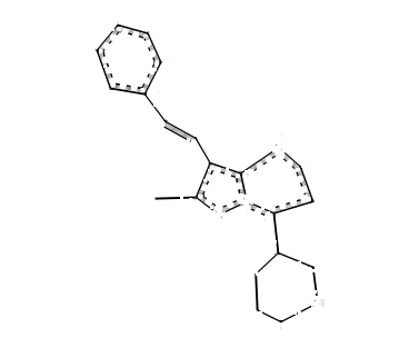 Cc1nn2c(C3CCCNC3)ccnc2c1C=Cc1ccccc1.Cl